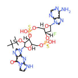 CC(C)(C)[Si](C)(C)OC1[C@H](n2cnc3c(=O)n4cc[nH]c4nc32)O[C@@H]2COP(O)(=S)O[C@H]3[C@@H](F)[C@H](n4cnc5c(N)ncnc54)O[C@@H]3COP(O)(=S)O[C@@H]12